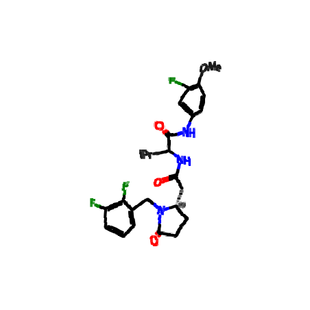 COc1ccc(NC(=O)C(NC(=O)C[C@@H]2CCC(=O)N2Cc2cccc(F)c2F)C(C)C)cc1F